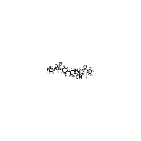 N#C[C@]1(c2ccc(-c3ccc(N4CC(n5ccnn5)OC4=O)cc3F)cn2)[C@@H]2CN(C(=O)[C@@H]3CCCN3)C[C@@H]21